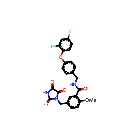 COc1ccc(CN2C(=O)NC(=O)C2=O)cc1C(=O)NCc1ccc(Oc2ccc(F)cc2F)cc1